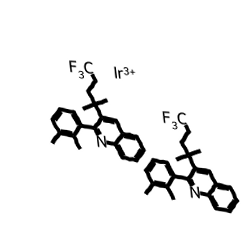 Cc1cccc(-c2nc3ccccc3cc2C(C)(C)CCC(F)(F)F)c1C.Cc1cccc(-c2nc3ccccc3cc2C(C)(C)CCC(F)(F)F)c1C.[Ir+3]